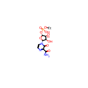 CCOP(=O)(O)O[C@H]1O[C@@H](n2ccnc(C(N)=O)c2=O)[C@H](O)[C@@H]1O